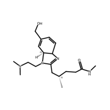 CNC(=O)CC[C@H](C)CC1=NC2C=CC(CO)=C[C@@H]2N1CCN(C)C